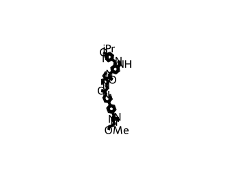 COCCn1cnc(-c2ccc(C3=CCN(C(=O)CN4CCC5(CCN(c6ccc7[nH]nc(-c8ccc(OC(C)C)nc8)c7c6)C5=O)C4)CC3)cc2)n1